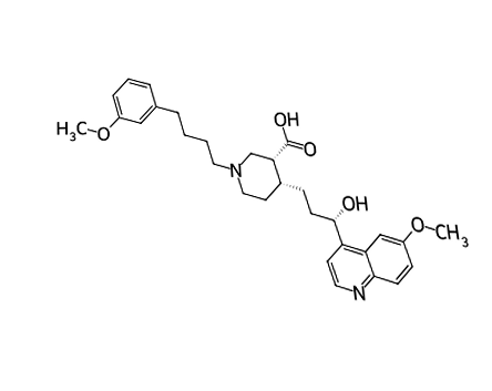 COc1cccc(CCCCN2CC[C@@H](CC[C@H](O)c3ccnc4ccc(OC)cc34)[C@@H](C(=O)O)C2)c1